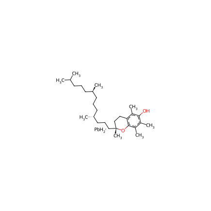 Cc1c(C)c2c(c(C)c1O)CC[C@@](C)(CCC[C@H](C)CCC[C@H](C)CCCC(C)C)O2.[PbH2]